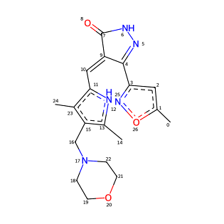 Cc1cc(C2=NNC(=O)/C2=C/c2[nH]c(C)c(CN3CCOCC3)c2C)no1